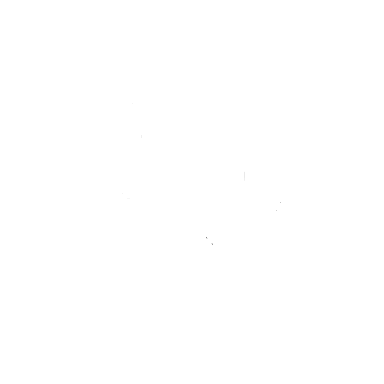 CCC1=NC2=CC=C3C2=C1[Si]3(C)C.[Cl-].[Cl-].[Zr+2]